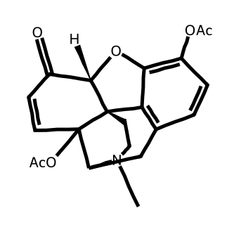 CC(=O)Oc1ccc2c3c1O[C@H]1C(=O)C=CC4(OC(C)=O)C(C2)N(C)CC[C@]314